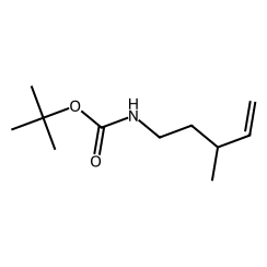 C=CC(C)CCNC(=O)OC(C)(C)C